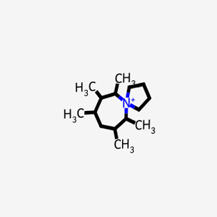 CC1CC(C)C(C)[N+]2(CCCC2)C(C)C1C